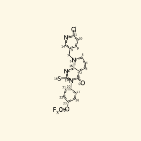 O=c1c2cccn(Cc3ccc(Cl)nc3)c-2nc(=S)n1-c1ccc(OC(F)(F)F)cc1